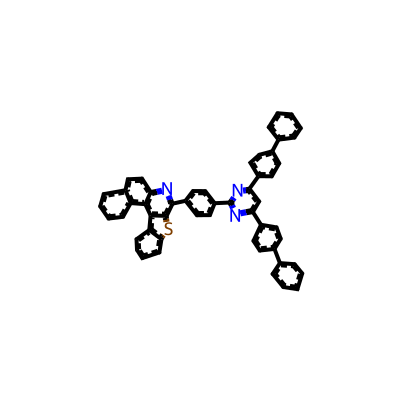 c1ccc(-c2ccc(-c3cc(-c4ccc(-c5ccccc5)cc4)nc(-c4ccc(-c5nc6ccc7ccccc7c6c6c5sc5ccccc56)cc4)n3)cc2)cc1